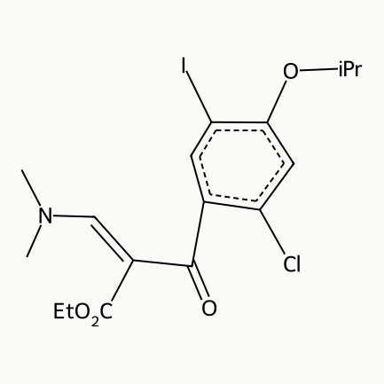 CCOC(=O)C(=CN(C)C)C(=O)c1cc(I)c(OC(C)C)cc1Cl